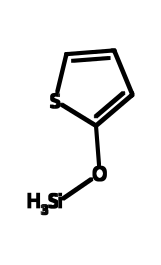 [SiH3]Oc1cccs1